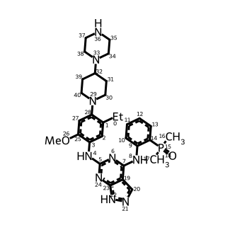 CCc1cc(Nc2nc(Nc3ccccc3P(C)(C)=O)c3cn[nH]c3n2)c(OC)cc1N1CCC(N2CCNCC2)CC1